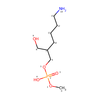 COP(=O)(O)OCC(CO)CCCCN